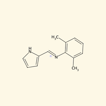 Cc1cccc(C)c1/N=C/c1ccc[nH]1